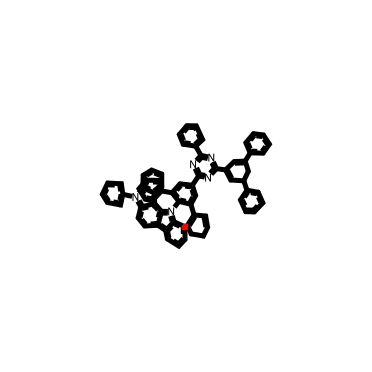 C1=CC(c2cc(-c3nc(C4=CC(c5ccccc5)CC(c5ccccc5)=C4)nc(-c4ccccc4)n3)cc(-c3ccccc3)c2-n2c3ccccc3c3ccc4c(c5ccccc5n4-c4ccccc4)c32)=CCC1